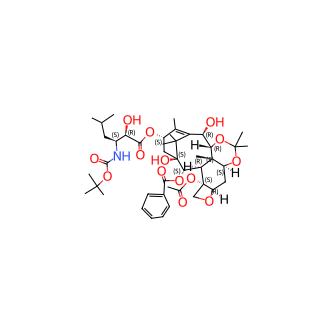 CC(=O)O[C@@]12CO[C@@H]1C[C@@H]1OC(C)(C)O[C@H]3[C@H](O)C4=C(C)[C@@H](OC(=O)[C@H](O)[C@H](CC(C)C)NC(=O)OC(C)(C)C)C[C@@](O)([C@@H](OC(=O)c5ccccc5)[C@H]2[C@@]13C)C4(C)C